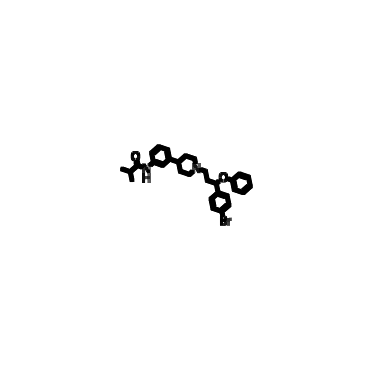 CC(C)C(=O)Nc1cccc(C2CCN(CCC(Oc3ccccc3)c3ccc(Br)cc3)CC2)c1